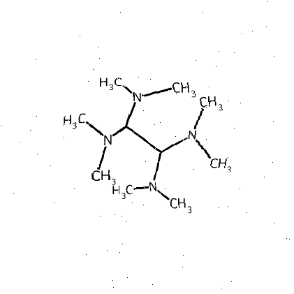 CN(C)C(C(N(C)C)N(C)C)N(C)C